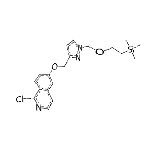 C[Si](C)(C)CCOCn1ccc(COc2ccc3c(Cl)nccc3c2)n1